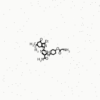 CCc1nn(-c2ncc(C(N)=O)c(NC3CCC(OC(=O)CN)CC3)n2)c2c1C(=O)CC(C)(C)C2